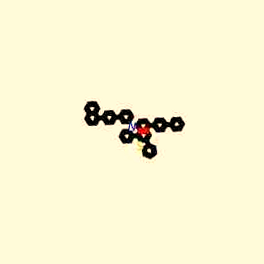 C1=CC2Sc3c(-c4ccccc4N(c4ccc(-c5ccc(-c6ccccc6)cc5)cc4)c4cccc(-c5ccc(-c6cccc7ccccc67)cc5)c4)cccc3C2C=C1